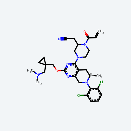 C=CC(=O)N1CCN(c2nc(OCC3(CN(C)C)CC3)nc3c2C[C@@H](C)N(c2c(Cl)cccc2Cl)C3)CC1CC#N